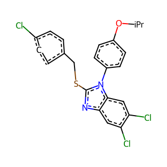 CC(C)Oc1ccc(-n2c(SCc3ccc(Cl)cc3)nc3cc(Cl)c(Cl)cc32)cc1